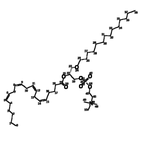 CCCCC/C=C\C/C=C\C/C=C\C/C=C\CCCC(=O)O[C@H](COCCCCCCCCCCCCCC)COP(=O)([O-])OCC[N+](C)(C)C